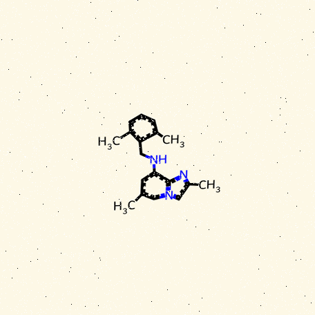 Cc1cc(NCc2c(C)cccc2C)c2nc(C)cn2c1